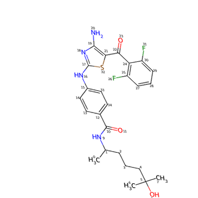 CC(CCCC(C)(C)O)NC(=O)c1ccc(Nc2nc(N)c(C(=O)c3c(F)cccc3F)s2)cc1